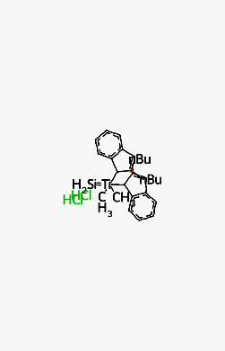 CCCCC1=Cc2ccccc2[CH]1[Ti]([CH3])([CH3])(=[SiH2])[CH]1C(CCCC)=Cc2ccccc21.Cl.Cl